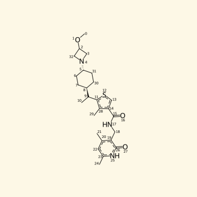 COC1CN([C@H]2CC[C@H](C(C)c3scc(C(=O)NCc4c(C)cc(C)[nH]c4=O)c3C)CC2)C1